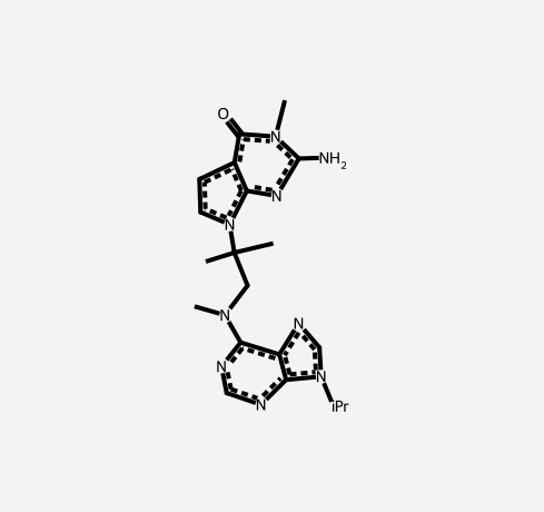 CC(C)n1cnc2c(N(C)CC(C)(C)n3ccc4c(=O)n(C)c(N)nc43)ncnc21